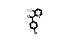 O=C(c1ccc(Br)cc1)c1ncccc1O